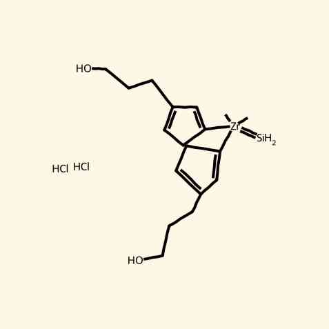 Cl.Cl.[CH3][Zr]([CH3])(=[SiH2])([C]1=CC(CCCO)=CC1)[C]1=CC(CCCO)=CC1